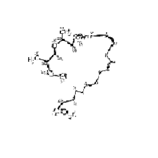 CCCCC/C=C\C/C=C\CCCCCCCC(=O)O.CCOC(C)COC(C)CO